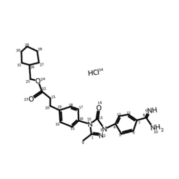 Cc1nn(-c2ccc(C(=N)N)cc2)c(=O)n1-c1ccc(CCC(=O)OCC2CCCCC2)cc1.Cl